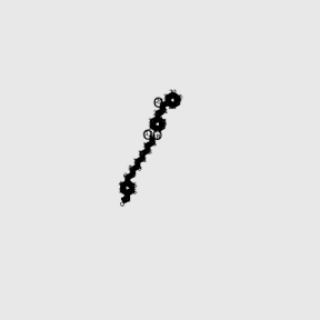 C=Cc1ccc(CCCCCCCCCCC(=O)Oc2ccc(C=CC(=O)c3ccccc3)cc2)cc1